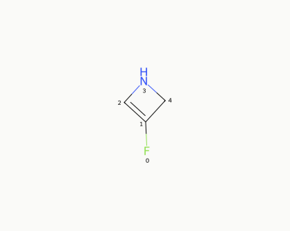 FC1=CNC1